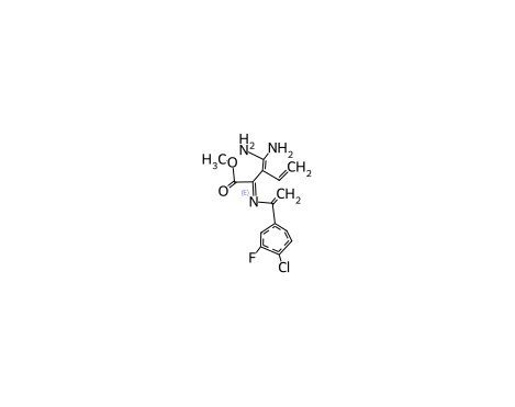 C=CC(=C(N)N)/C(=N\C(=C)c1ccc(Cl)c(F)c1)C(=O)OC